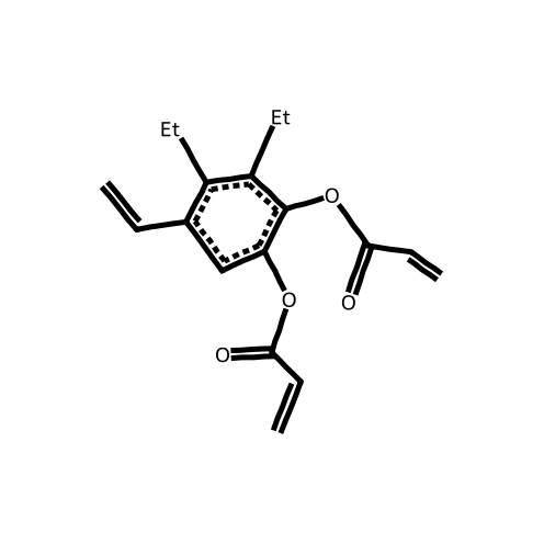 C=CC(=O)Oc1cc(C=C)c(CC)c(CC)c1OC(=O)C=C